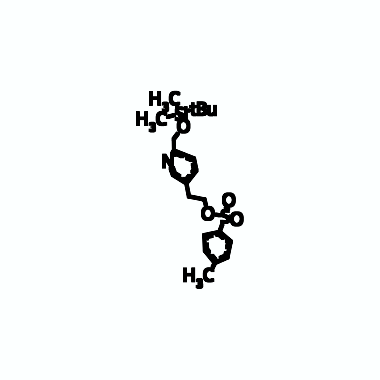 Cc1ccc(S(=O)(=O)OCCc2ccc(CO[Si](C)(C)C(C)(C)C)nc2)cc1